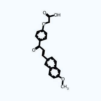 COc1ccc2cc(/C=C/C(=O)c3ccc(OCC(=O)O)cc3)ccc2c1